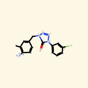 Cc1cc(Cn2nnn(-c3cccc(F)c3)c2=O)ccc1N